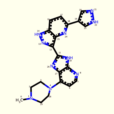 CN1CCN(c2ccnc3[nH]c(-c4n[nH]c5ccc(-c6cn[nH]c6)nc45)nc23)CC1